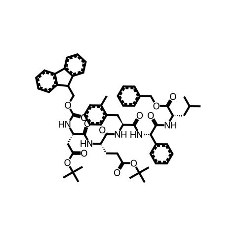 Cc1ccccc1C[C@H](NC(=O)[C@H](CCC(=O)OC(C)(C)C)NC(=O)[C@H](CC(=O)OC(C)(C)C)NC(=O)OCC1c2ccccc2-c2ccccc21)C(=O)N[C@H](C(=O)N[C@@H](CC(C)C)C(=O)OCc1ccccc1)c1ccccc1